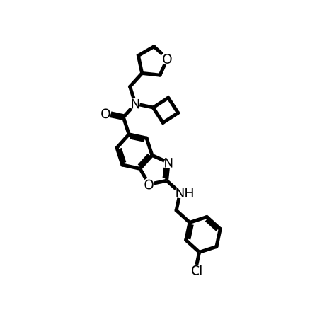 O=C(c1ccc2oc(NCC3=CC(Cl)CC=C3)nc2c1)N(CC1CCOC1)C1CCC1